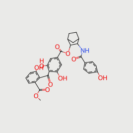 COC(=O)c1cccc(O)c1C(=O)c1c(O)cc(C(=O)OC2C3CCC(C3)C2NC(=O)c2ccc(O)cc2)cc1O